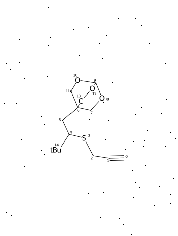 C#CCSC(CC12COC(OC1)OC2)C(C)(C)C